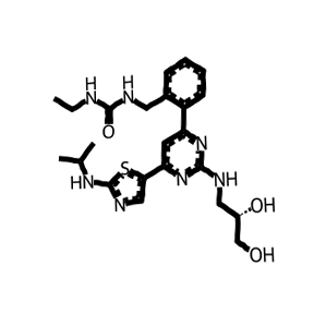 CCNC(=O)NCc1ccccc1-c1cc(-c2cnc(NC(C)C)s2)nc(NC[C@H](O)CO)n1